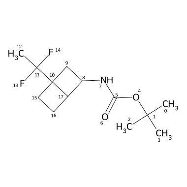 CC(C)(C)OC(=O)NC1CC2(C(C)(F)F)CCC12